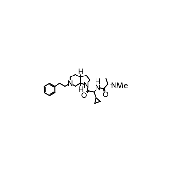 CN[C@@H](C)C(=O)N[C@H](C(=O)N1CC[C@H]2CCN(CCc3ccccc3)C[C@H]21)C1CC1